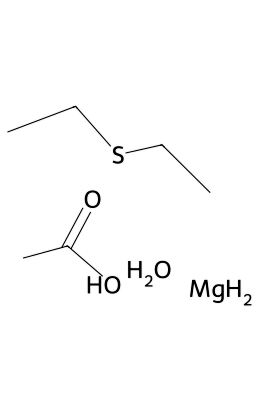 CC(=O)O.CCSCC.O.[MgH2]